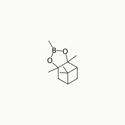 CB1OC2(C)CC3CC(C3(C)C)C2(C)O1